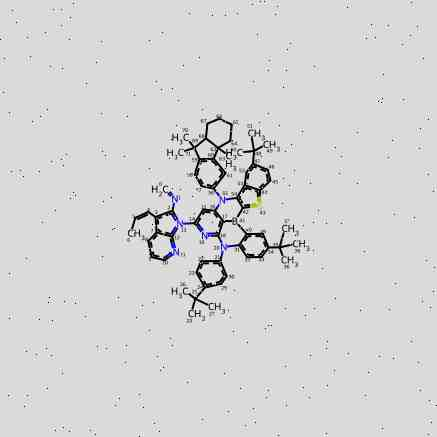 C=Nc1c(/C=C\C)c2cccnc2n1-c1cc2c3c(n1)N(c1ccc(C(C)(C)C)cc1)c1ccc(C(C)(C)C)cc1B3c1sc3ccc(C(C)(C)C)cc3c1N2c1ccc2c(c1)C1(C)CCCCC1C2(C)C